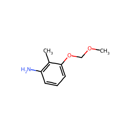 COCOc1cccc(N)c1C